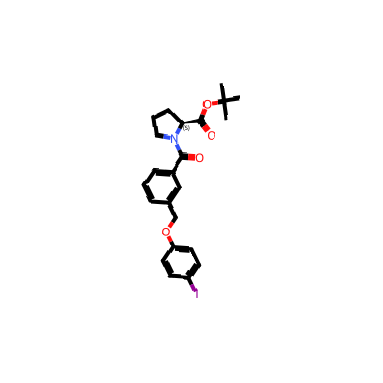 CC(C)(C)OC(=O)[C@@H]1CCCN1C(=O)c1cccc(COc2ccc(I)cc2)c1